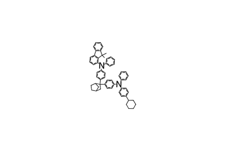 CC1(C)c2ccccc2-c2cccc(N(c3ccccc3)c3ccc(C4(c5ccc(N(c6ccccc6)c6ccc(C7CCCCC7)cc6)cc5)CC5CCC4C5)cc3)c21